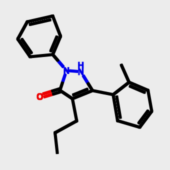 CCCc1c(-c2ccccc2C)[nH]n(-c2ccccc2)c1=O